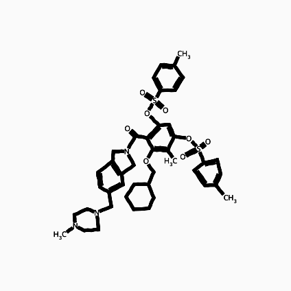 Cc1ccc(S(=O)(=O)Oc2cc(OS(=O)(=O)c3ccc(C)cc3)c(C(=O)N3Cc4ccc(CN5CCN(C)CC5)cc4C3)c(OCC3CCCCC3)c2C)cc1